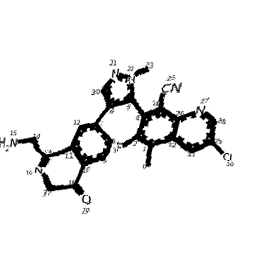 Cc1c(F)c(-c2c(-c3ccc4c(c3)C(CN)=NCC4=O)cnn2C)c(C#N)c2ncc(Cl)cc12